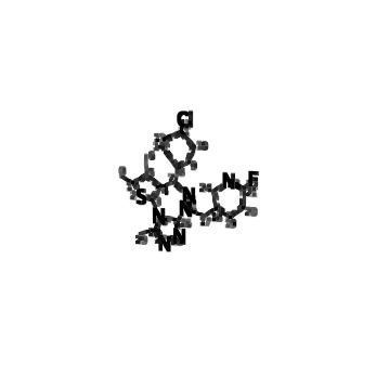 Cc1sc2c(c1C)C(c1ccc(Cl)cc1)=NN(Cc1ccc(F)nc1)c1nnc(C)n1-2